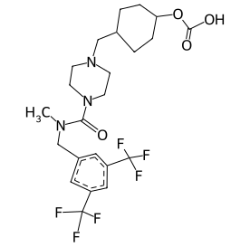 CN(Cc1cc(C(F)(F)F)cc(C(F)(F)F)c1)C(=O)N1CCN(CC2CCC(OC(=O)O)CC2)CC1